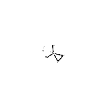 C[N+]1(C)CC1.[I-]